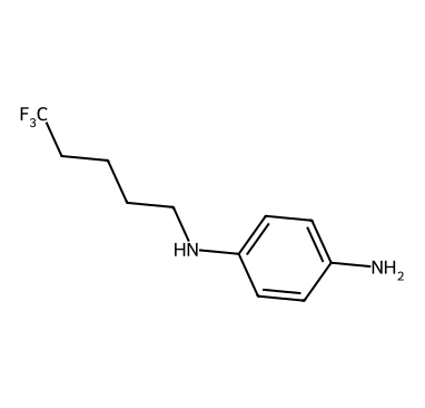 Nc1ccc(NCCCCC(F)(F)F)cc1